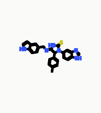 Cc1ccc(C2/C(=N/Cc3ccc4[nH]ccc4c3)NC(=S)N2c2ccc3[nH]cnc3c2)cc1